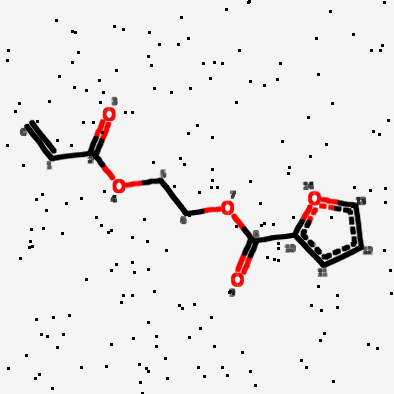 C=CC(=O)OCCOC(=O)c1ccco1